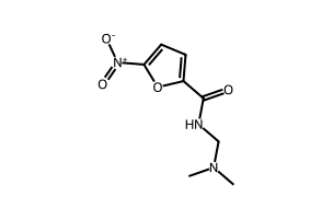 CN(C)CNC(=O)c1ccc([N+](=O)[O-])o1